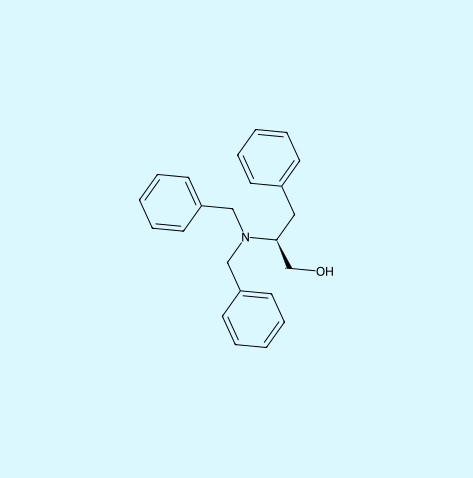 O[CH][C@H](Cc1ccccc1)N(Cc1ccccc1)Cc1ccccc1